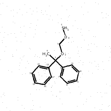 CC(OCO[SiH3])(c1ccccc1)c1ccccc1